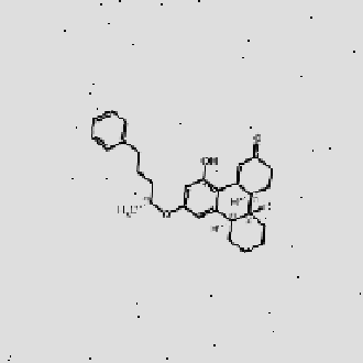 C[C@H](CCCc1ccccc1)Oc1cc(O)c2c(c1)[C@@H]1CCCC[C@H]1[C@@H]1CCC(=O)C=C21